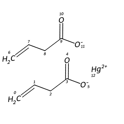 C=CCC(=O)[O-].C=CCC(=O)[O-].[Hg+2]